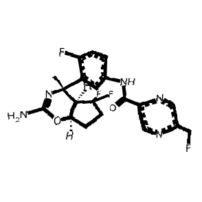 C[C@]1(c2cc(NC(=O)c3cnc(CF)cn3)ccc2F)N=C(N)O[C@@H]2CCC(F)(F)[C@@H]21